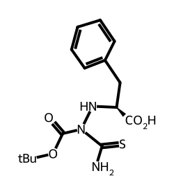 CC(C)(C)OC(=O)N(N[C@@H](Cc1ccccc1)C(=O)O)C(N)=S